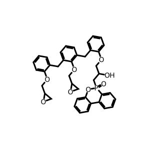 O=P1(CC(O)COc2ccccc2Cc2cccc(Cc3ccccc3OCC3CO3)c2OCC2CO2)Oc2ccccc2-c2ccccc21